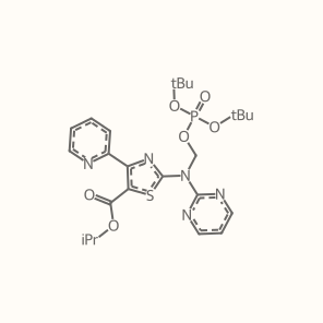 CC(C)OC(=O)c1sc(N(COP(=O)(OC(C)(C)C)OC(C)(C)C)c2ncccn2)nc1-c1ccccn1